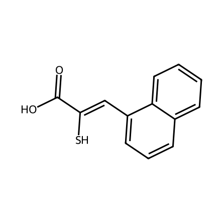 O=C(O)/C(S)=C/c1cccc2ccccc12